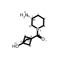 N[C@@H]1CCCN(C(=O)C23CC(O)(C2)C3)C1